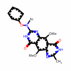 COc1c2nc(N(Oc3ccccc3)C(C)=O)[nH]c(=O)c2c(OC)c2nc(C)[nH]c(=O)c12